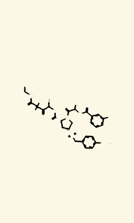 COc1ccc(CS(=O)(=O)[C@@H]2C[C@@H](C(=O)NC(C(=O)C(F)(F)C(=O)NCC(F)(F)F)C(C)C)N(C(=O)C(C)NC(=O)c3cccc(Cl)c3)C2)cc1